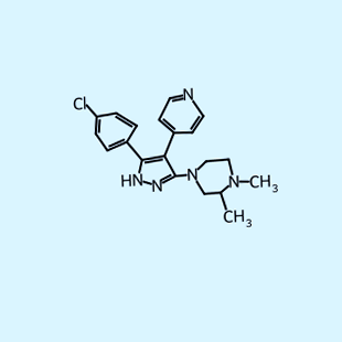 CC1CN(c2n[nH]c(-c3ccc(Cl)cc3)c2-c2ccncc2)CCN1C